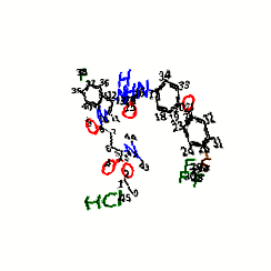 CCOC(=O)C(CCC(=O)n1cc(NC(=O)Nc2ccc(Oc3ccc(SC(F)(F)F)cc3)cc2)c2cc(F)ccc21)N(C)C.Cl